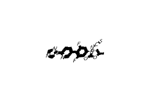 CC1C[N@+](N=C=S)(c2cc(F)c(-c3ccc(-n4cncn4)nc3)c(F)c2)C(=O)O1